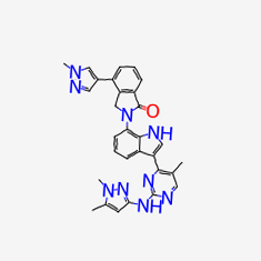 Cc1cnc(Nc2cc(C)n(C)n2)nc1-c1c[nH]c2c(N3Cc4c(cccc4-c4cnn(C)c4)C3=O)cccc12